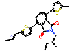 C=CC(C)CN1C(=O)c2c(-c3ccc(C)s3)ccc(-c3ccc(/C=C/C)s3)c2C1=O